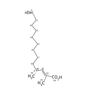 CCCCCCCCCCCCCCCCCC[C@@H](C)C=C(C)C(=O)O